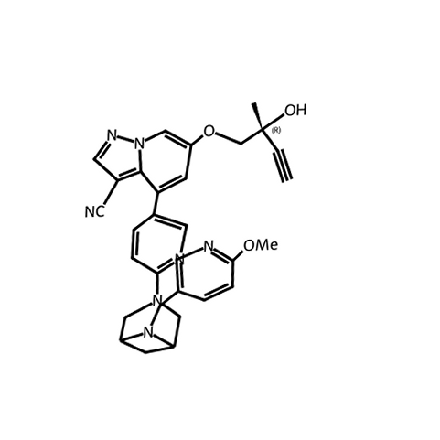 C#C[C@@](C)(O)COc1cc(-c2ccc(N3CC4CC(C3)N4Cc3ccc(OC)nc3)nc2)c2c(C#N)cnn2c1